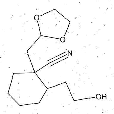 N#CC1(CC2OCCO2)CCCCC1CCO